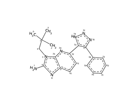 CC(C)(C)Cn1c(N)nc2ccc(-c3[nH]nnc3-c3ccccc3)nc21